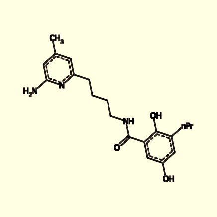 CCCc1cc(O)cc(C(=O)NCCCCc2cc(C)cc(N)n2)c1O